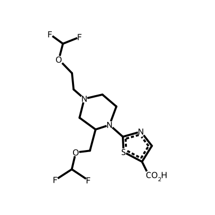 O=C(O)c1cnc(N2CCN(CCOC(F)F)CC2COC(F)F)s1